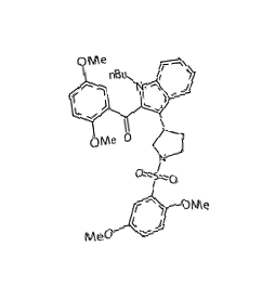 CCCCn1c(C(=O)c2cc(OC)ccc2OC)c(C2CCN(S(=O)(=O)c3cc(OC)ccc3OC)C2)c2ccccc21